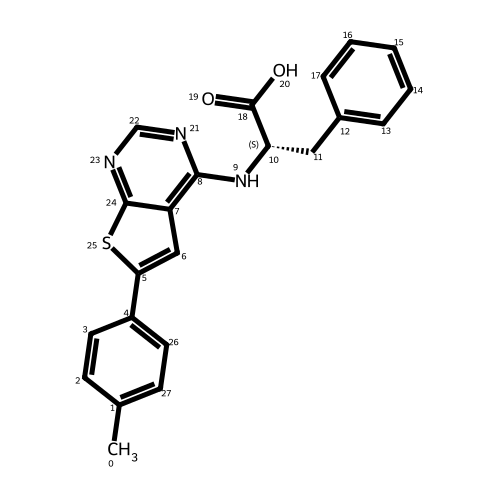 Cc1ccc(-c2cc3c(N[C@@H](Cc4ccccc4)C(=O)O)ncnc3s2)cc1